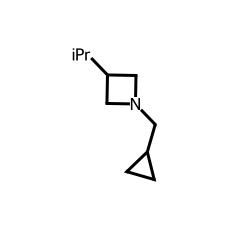 CC(C)C1CN(CC2CC2)C1